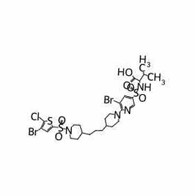 CC(C)C(NS(=O)(=O)c1cnc(N2CCC(CCCC3CCN(S(=O)(=O)c4cc(Br)c(Cl)s4)CC3)CC2)c(Br)c1)C(=O)O